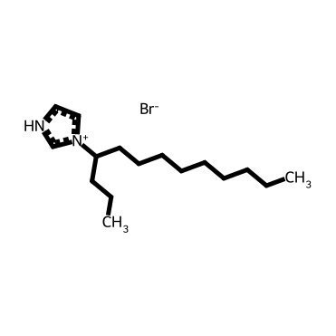 CCCCCCCCCC(CCC)[n+]1cc[nH]c1.[Br-]